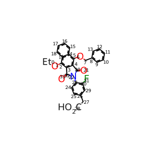 CCOc1c2c(c(OCc3ccccc3)c3ccccc13)C(=O)N(c1ccc(CC(=O)O)cc1F)C2=O